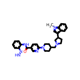 Cn1cc(C2CCN(CC3CCN(c4ccc(C(=O)Nc5ccccc5N=N)cn4)CC3)C2)c2ccccc21